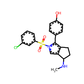 CNC1CCc2c1cn(S(=O)(=O)c1cccc(Cl)c1)c2-c1ccc(O)cc1